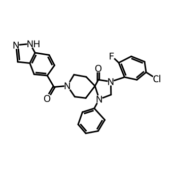 O=C(c1ccc2[nH]ncc2c1)N1CCC2(CC1)C(=O)N(c1cc(Cl)ccc1F)CN2c1ccccc1